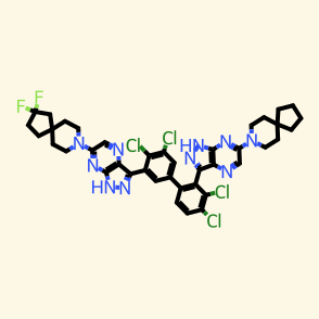 FC1(F)CCC2(CCN(c3cnc4c(-c5cc(-c6ccc(Cl)c(Cl)c6-c6n[nH]c7nc(N8CCC9(CCCC9)CC8)cnc67)cc(Cl)c5Cl)n[nH]c4n3)CC2)C1